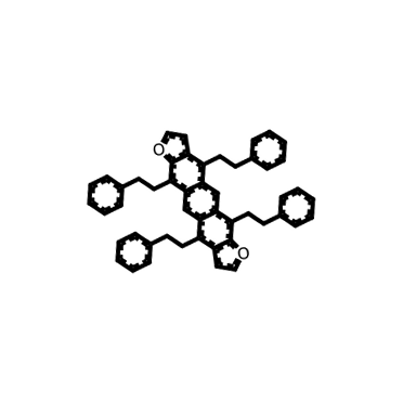 c1ccc(CCc2c3cc4c(CCc5ccccc5)c5occc5c(CCc5ccccc5)c4cc3c(CCc3ccccc3)c3occc23)cc1